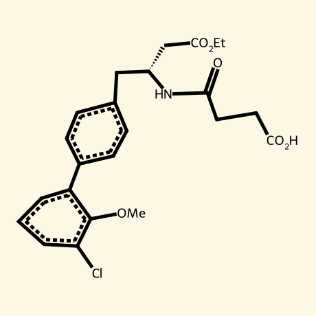 CCOC(=O)C[C@@H](Cc1ccc(-c2cccc(Cl)c2OC)cc1)NC(=O)CCC(=O)O